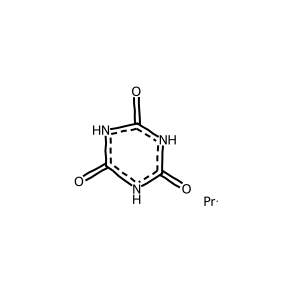 O=c1[nH]c(=O)[nH]c(=O)[nH]1.[Pr]